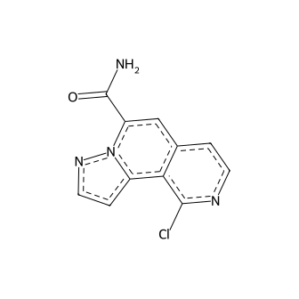 NC(=O)c1cc2ccnc(Cl)c2c2ccnn12